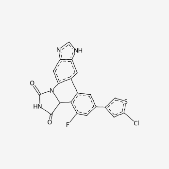 O=C1NC(=O)N2c3cc4nc[nH]c4cc3-c3cc(-c4csc(Cl)c4)cc(F)c3C12